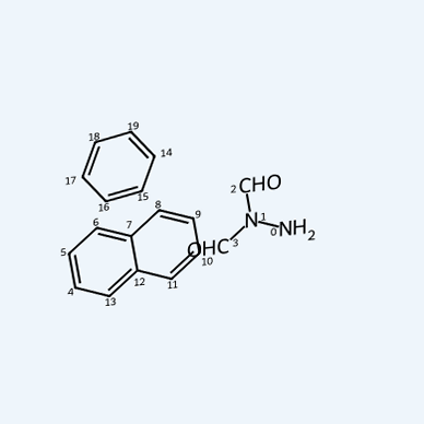 NN(C=O)C=O.c1ccc2ccccc2c1.c1ccccc1